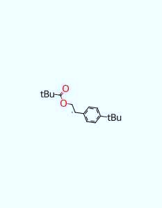 CC(C)(C)C(=O)OC[CH]c1ccc(C(C)(C)C)cc1